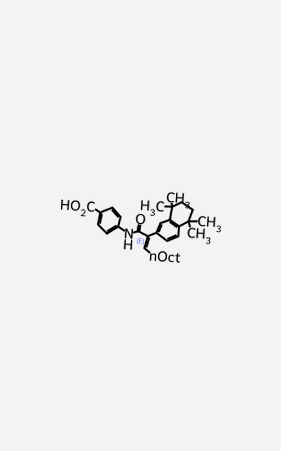 CCCCCCCC/C=C(/C(=O)Nc1ccc(C(=O)O)cc1)c1ccc2c(c1)C(C)(C)CCC2(C)C